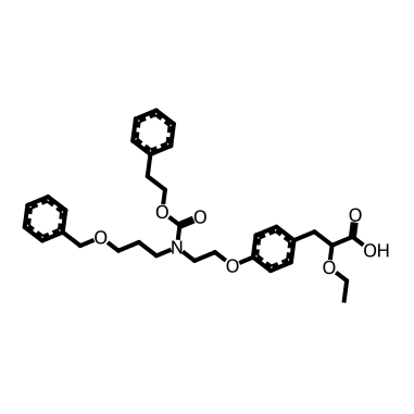 CCOC(Cc1ccc(OCCN(CCCOCc2ccccc2)C(=O)OCCc2ccccc2)cc1)C(=O)O